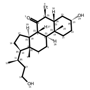 CC[C@@H]1C(=O)[C@@H]2[C@H](CC[C@]3(C)[C@@H]([C@H](C)CCO)CC[C@@H]23)[C@@]2(C)CC[C@@H](O)C[C@@H]12